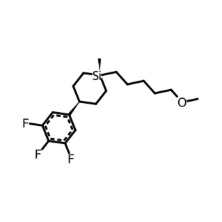 COCCCCC[Si@]1(C)CC[C@@H](c2cc(F)c(F)c(F)c2)CC1